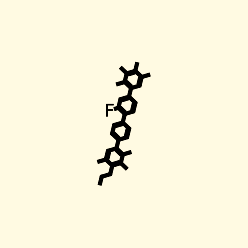 CCCc1c(C)cc(-c2ccc(-c3ccc(-c4cc(C)c(C)c(C)c4C)cc3F)cc2)c(C)c1C